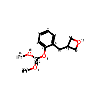 CC(C)O[SiH](Oc1ccccc1CC1COC1)OC(C)C